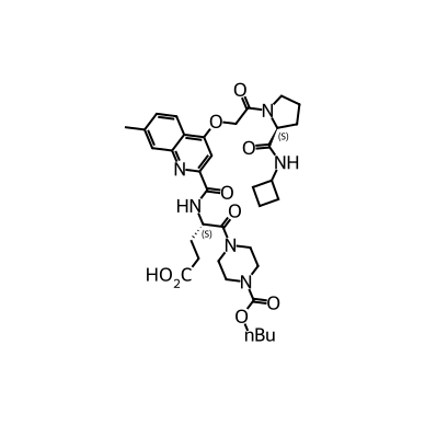 CCCCOC(=O)N1CCN(C(=O)[C@H](CCC(=O)O)NC(=O)c2cc(OCC(=O)N3CCC[C@H]3C(=O)NC3CCC3)c3ccc(C)cc3n2)CC1